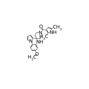 COc1ccc2c(c1)NC1(CCN(C(=O)c3cc(C)[nH]c3C)CC1)c1cccn1-2